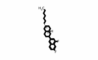 CCCCCCC[C@@H]1CC[C@@H]2CC(c3cc(F)c4cc(F)ccc4c3)CCC2C1